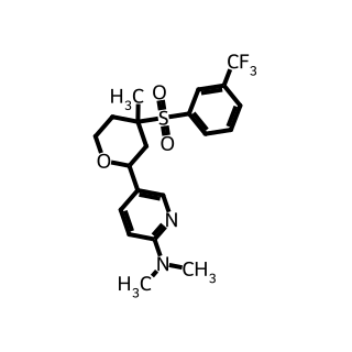 CN(C)c1ccc(C2CC(C)(S(=O)(=O)c3cccc(C(F)(F)F)c3)CCO2)cn1